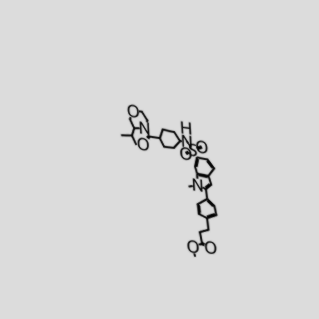 COC(=O)CCc1ccc(-c2cc3ccc(S(=O)(=O)NC4CCC(C(=O)N5CCOCC5C(C)C)CC4)cc3n2C)cc1